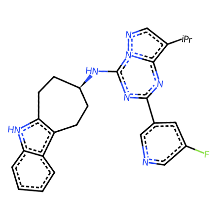 CC(C)c1cnn2c(N[C@@H]3CCc4[nH]c5ccccc5c4CC3)nc(-c3cncc(F)c3)nc12